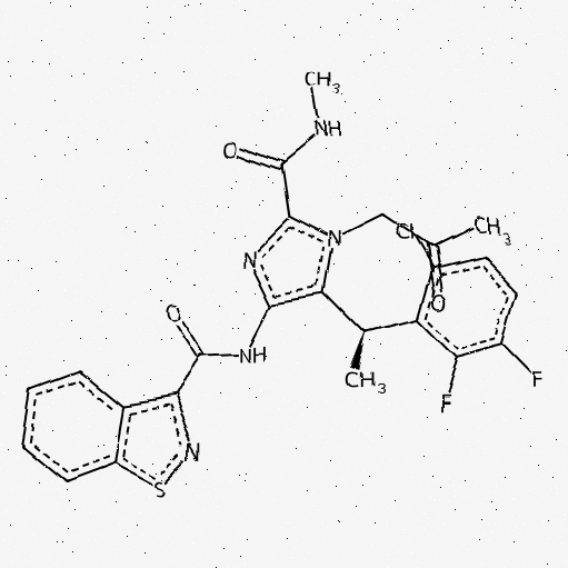 CNC(=O)c1nc(NC(=O)c2nsc3ccccc23)c([C@H](C)c2c(Cl)ccc(F)c2F)n1CC(C)=O